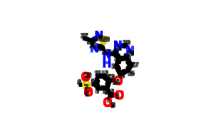 COC(=O)c1cc(S(C)(=O)=O)ccc1Oc1ccc2ncnc(Nc3nc(C)ns3)c2c1